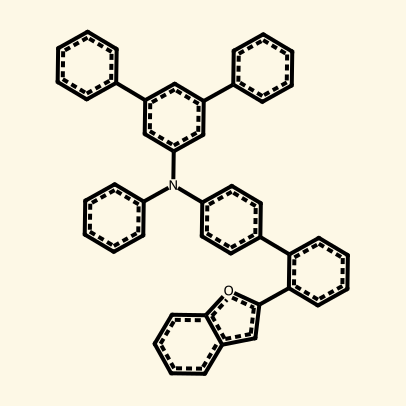 c1ccc(-c2cc(-c3ccccc3)cc(N(c3ccccc3)c3ccc(-c4ccccc4-c4cc5ccccc5o4)cc3)c2)cc1